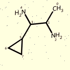 CC(N)C(N)C1CC1